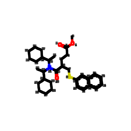 COC(=O)CCC(CSc1ccc2ccccc2c1)C(=O)N(C(C)C1CCCCC1)C(C)C1CCCCC1